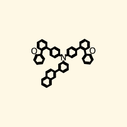 c1cc(-c2ccc3ccccc3c2)cc(N(c2ccc(-c3cccc4oc5ccccc5c34)cc2)c2ccc(-c3cccc4oc5ccccc5c34)cc2)c1